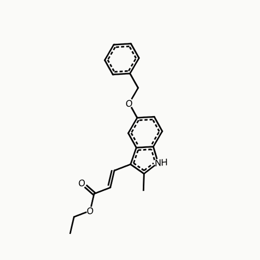 CCOC(=O)C=Cc1c(C)[nH]c2ccc(OCc3ccccc3)cc12